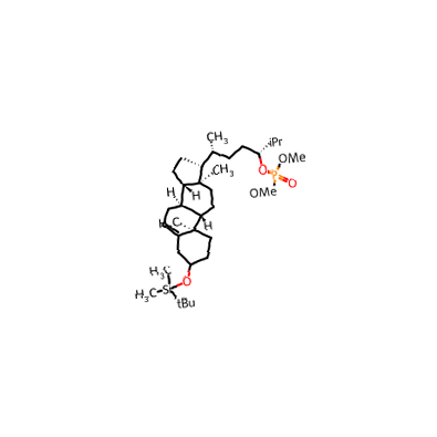 COP(=O)(OC)O[C@H](CC[C@@H](C)[C@H]1CC[C@H]2[C@@H]3CC=C4CC(O[Si](C)(C)C(C)(C)C)CC[C@]4(C)[C@H]3CC[C@]12C)C(C)C